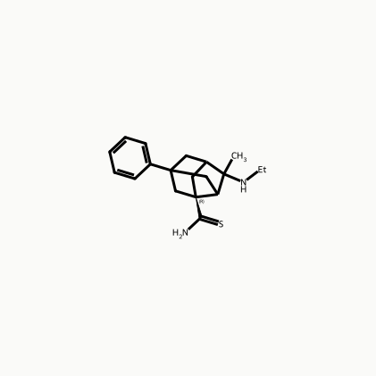 CCNC1(C)C2CC3(c4ccccc4)CC1[C@@](C(N)=S)(C2)C3